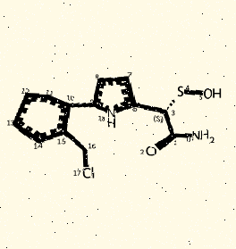 NC(=O)[C@@H](SO)c1ccc(-c2ccccc2CCl)[nH]1